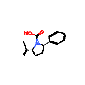 C=C(C)[C@H]1CC[C@@H](c2ccccc2)N1C(=O)O